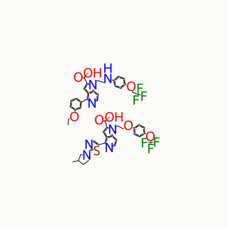 CC1CCN(c2ncc(-c3nccc4c3cc(C(=O)O)n4CCOc3ccc(OC(F)(F)F)cc3)s2)C1.CCOc1cccc(-c2nccc3c2cc(C(=O)O)n3CCNc2ccc(OCC(F)(F)F)cc2)c1